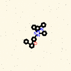 c1ccc(-c2nc(-c3ccc4c(c3)oc3cccc(-c5ccccc5)c34)nc(-c3ccccc3-n3c4ccccc4c4ccccc43)n2)cc1